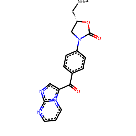 CC(=O)NC[C@H]1CN(c2ccc(C(=O)c3cnc4ncccn34)cc2)C(=O)O1